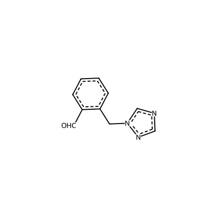 O=Cc1ccccc1Cn1cncn1